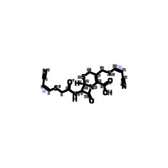 N#C/C=C\SCC(=O)NC1C(=O)N2C(C(=O)O)=C(CS/C=C\C#N)CS[C@@H]12